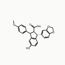 COc1ccc(C2c3cc(O)ccc3[C@@H](c3ccc4c(c3)OCO4)C2C(=O)O)cc1